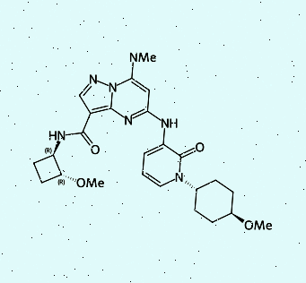 CNc1cc(Nc2cccn([C@H]3CC[C@H](OC)CC3)c2=O)nc2c(C(=O)N[C@@H]3CC[C@H]3OC)cnn12